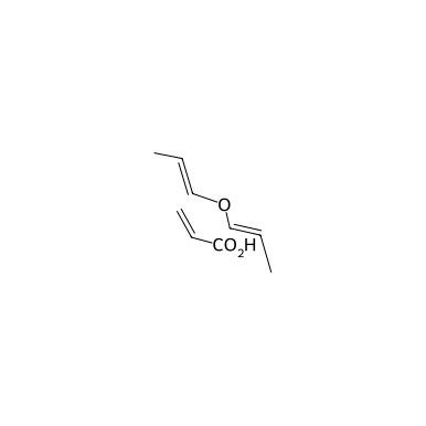 C=CC(=O)O.CC=COC=CC